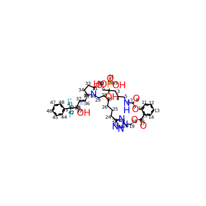 CC(O)(CCCNC(=O)Oc1ccccc1C(=O)OCn1nnc(CCCCCCN2C(=O)CC[C@@H]2/C=C/[C@@H](O)C(F)(F)c2ccccc2)n1)P(=O)(O)O